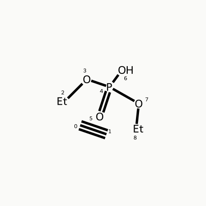 C#C.CCOP(=O)(O)OCC